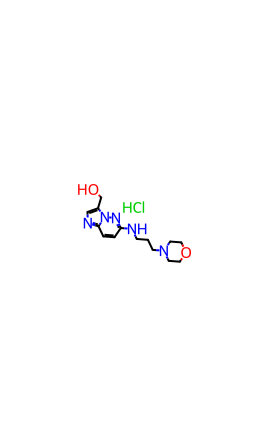 Cl.OCc1cnc2ccc(NCCCN3CCOCC3)nn12